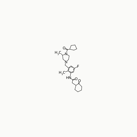 Cc1c(CN2CCN(C(=O)C3CCCC3)C(C)C2)cc(F)cc1NC(=O)CC1CCCCC1=O